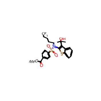 COC(=O)c1ccc(S(=O)(=O)N(CCCCC(F)(F)F)c2sc3ccccc3c2C(C)(C)O)cc1